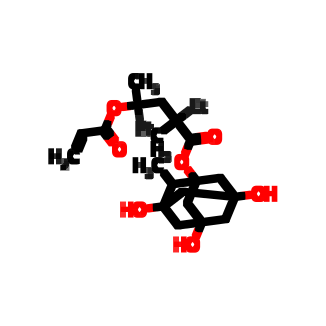 C=CC(=O)OC(C)(CC)CC(C)(CC)C(=O)OC12CC3(O)CC(O)(CC(O)(C3)C1C)C2